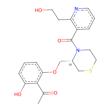 CC(=O)c1c(O)cccc1OC[C@H]1CSCCN1C(=O)c1cccnc1CCO